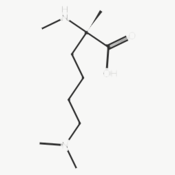 CN[C@@](C)(CCCCN(C)C)C(=O)O